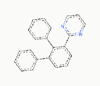 c1ccc(-c2cccc(-c3ncccn3)c2-c2ccccc2)cc1